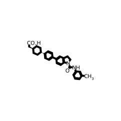 Cc1cccc(NC(=O)N2CCc3cc(-c4ccc([C@H]5CC[C@H](CC(=O)O)CC5)cc4)ccc32)c1